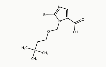 C[Si](C)(C)CCOCn1c(C(=O)O)cnc1Br